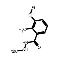 CCOc1cccc(C(=O)NNC(C)(C)C)c1C